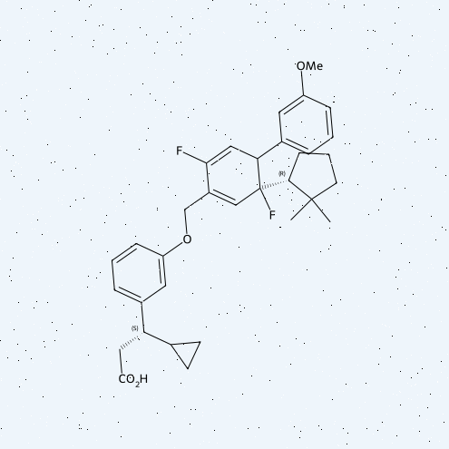 COc1cccc(C2C=C(F)C(COc3cccc([C@@H](CC(=O)O)C4CC4)c3)=CC2(F)[C@@H]2CCCC2(C)C)c1